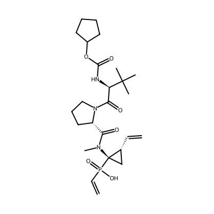 C=C[C@@H]1C[C@]1(N(C)C(=O)[C@@H]1CCCN1C(=O)[C@@H](NC(=O)OC1CCCC1)C(C)(C)C)P(=O)(O)C=C